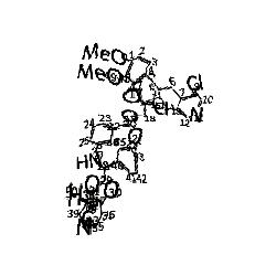 COc1ccc(C(Cc2c(Cl)cncc2Cl)OC(=O)COC(=O)c2cccc(NC(C(=O)O[C@H]3CN4CCC3CC4)c3ccccc3)c2)cc1OC